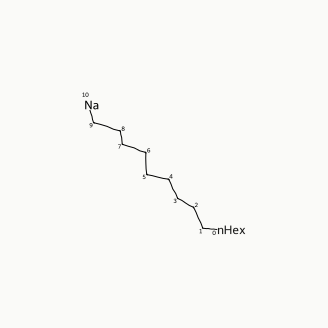 CCCCCCCCCCCCCC[CH2][Na]